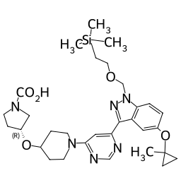 CC1(Oc2ccc3c(c2)c(-c2cc(N4CCC(O[C@@H]5CCN(C(=O)O)C5)CC4)ncn2)nn3COCC[Si](C)(C)C)CC1